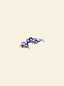 CN/C=C(\C(=N)N(C)C1COC1)C1=CC2C(=CC=C(N/C(N)=C/C(=C\N)C(C)C)N2C)N=C1